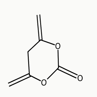 C=C1CC(=C)OC(=O)O1